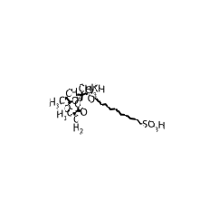 C=C(C)C(=O)OCC(C)(COC(=O)C(=C)C)C(=O)OCCCCCCCCCCS(=O)(=O)O.[KH]